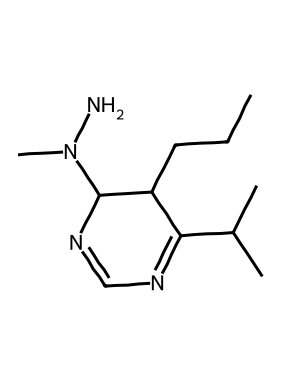 CCCC1C(C(C)C)=NC=NC1N(C)N